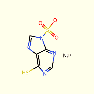 O=S(=O)([O-])n1cnc2c(S)ncnc21.[Na+]